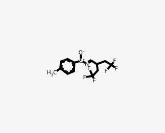 Cc1ccc([S+]([O-])N=CC(CC(F)(F)F)CC(F)(F)F)cc1